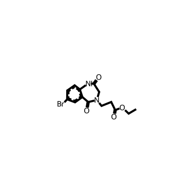 CCOC(=O)CCN1CC(=O)Nc2ccc(Br)cc2C1=O